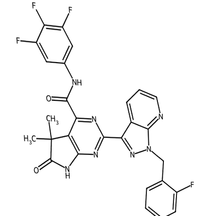 CC1(C)C(=O)Nc2nc(-c3nn(Cc4ccccc4F)c4ncccc34)nc(C(=O)Nc3cc(F)c(F)c(F)c3)c21